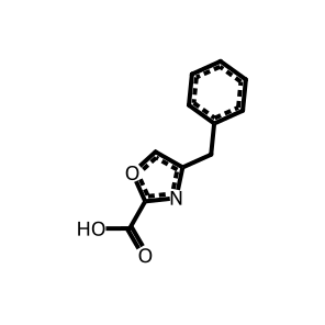 O=C(O)c1nc(Cc2ccccc2)co1